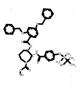 CC(C)C(C)(C)[Si](C)(C)Oc1ccc(C(=O)N[C@@H]2CN(C(=O)OC(C)(C)C)CCC[C@H]2OC(=O)c2ccc(OCc3ccccc3)cc2OCc2ccccc2)cc1